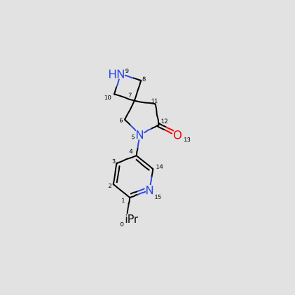 CC(C)c1ccc(N2CC3(CNC3)CC2=O)cn1